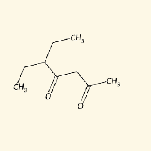 CCC(CC)C(=O)CC(C)=O